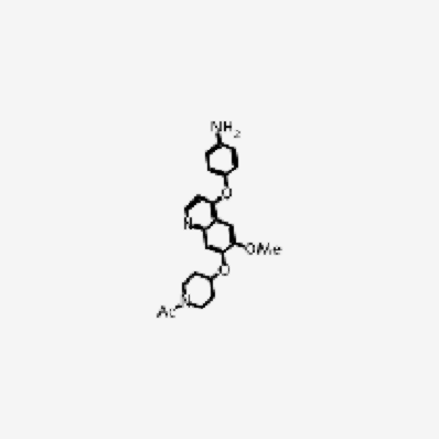 COc1cc2c(Oc3ccc(N)cc3)ccnc2cc1OC1CCN(C(C)=O)CC1